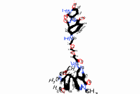 COc1cc(-c2cn(C)c(=O)c3cnc(NC(=O)CCOCCOCCNc4ccc5c(c4)C(=O)N(C4CCC(=O)NC4=O)C5=O)cc23)cc(OC)c1CN(C)C